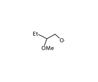 CCC(C[O])OC